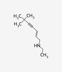 CCNC/C=C/C#CC(C)(C)C